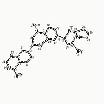 CC(C)c1cc(-c2ccc3c(C(C)C)ncnc3c2)nc2cc(-c3cc(C(C)C)n4cccc4n3)ccc12